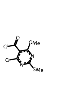 COc1nc(SC)nc(Cl)c1C(=O)Cl